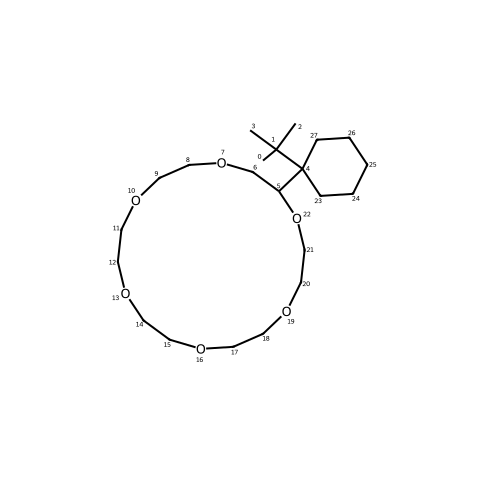 CC(C)(C)C1(C2COCCOCCOCCOCCOCCO2)CCCCC1